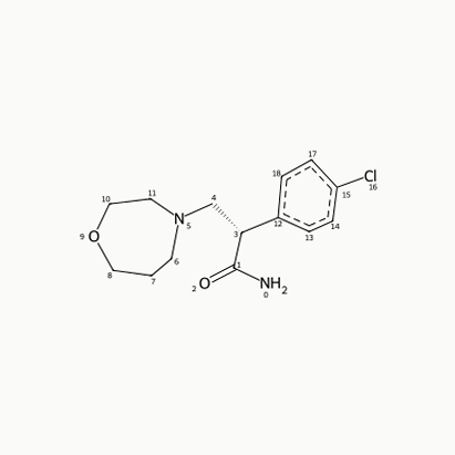 NC(=O)[C@H](CN1CCCOCC1)c1ccc(Cl)cc1